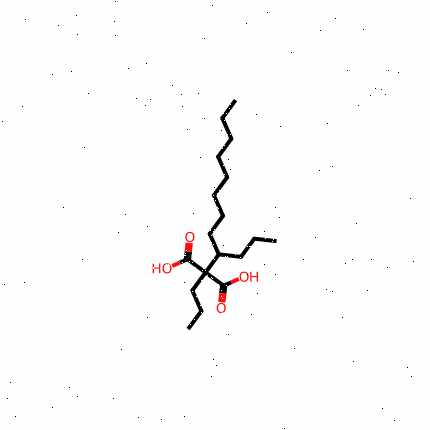 CCCCCCCCC(CCC)C(CCC)(C(=O)O)C(=O)O